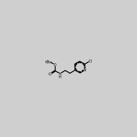 CC(C)(C)OC(=O)NCCc1ccc(Cl)nc1